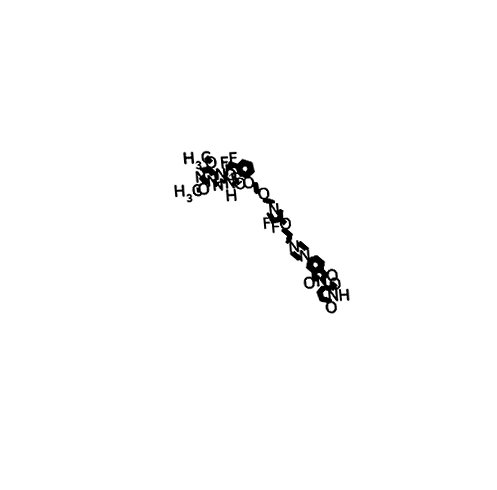 COc1cnc(OC)n2nc(NS(=O)(=O)c3c(OCCOCCN4CC(OCCCN5CCN(c6ccc7c(c6)C(=O)N(C6CCC(=O)NC6=O)C7=O)CC5)C(F)(F)C4)cccc3C(F)(F)F)nc12